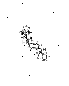 CC(C)N1[C@@H]2CCC[C@H]1C[C@H](NC(=O)Nc1ccc3nc(N[C@@H]4CCc5ccccc54)ccc3c1)C2